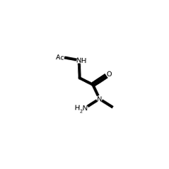 CC(=O)NCC(=O)N(C)N